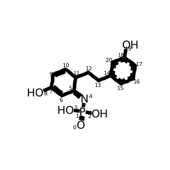 O=P(O)(O)N=C1C=C(O)C=CC1CCc1cccc(O)c1